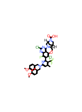 COc1ccc(CN(Cc2ccc(OC)cc2)c2cc(C)c(C(F)(F)F)c(-c3c(Cl)c4c5c(nc(Cl)nc5c3F)N3C[C@H]5CC[C@H](CN5C(=O)O)[C@H]3CO4)n2)cc1